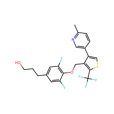 Cc1ccc(-c2csc(C(F)(F)F)c2COc2c(F)cc(CCCO)cc2F)cn1